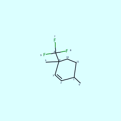 CC1C=CC(C)(C(F)(F)F)CC1